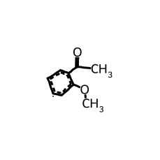 COc1c[c]ccc1C(C)=O